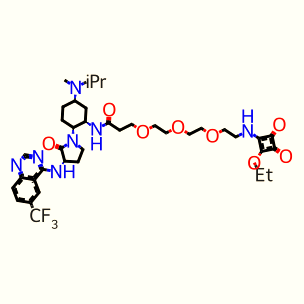 CCOc1c(NCCOCCOCCOCCC(=O)N[C@@H]2C[C@H](N(C)C(C)C)CC[C@@H]2N2CC[C@H](Nc3ncnc4ccc(C(F)(F)F)cc34)C2=O)c(=O)c1=O